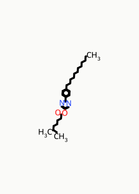 CCCCCCCCCCCCc1ccc(-c2ncc(OC(=O)CCCCC(C)CC)cn2)cc1